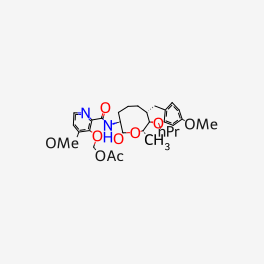 CCCO[C@@H]1[C@@H](Cc2ccc(OC)cc2)CCC[C@H](NC(=O)c2nccc(OC)c2OCOC(C)=O)C(=O)O[C@H]1C